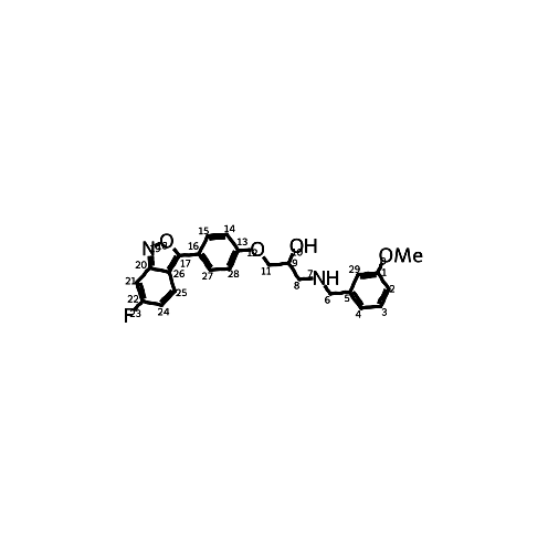 COc1cccc(CNCC(O)COc2ccc(-c3onc4cc(F)ccc34)cc2)c1